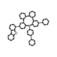 c1ccc(-c2ccc(-n3c4ccc(-c5ccccc5)cc4c4ccccc4c4ccccc4c4cc(-c5cccc6c5oc5ccccc56)ccc43)cc2)cc1